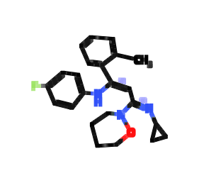 Cc1ccccc1/C(=C/C(=N/C1CC1)N1CCCCO1)Nc1ccc(F)cc1